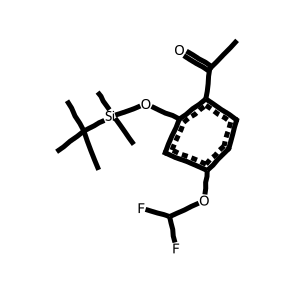 CC(=O)c1ccc(OC(F)F)cc1O[Si](C)(C)C(C)(C)C